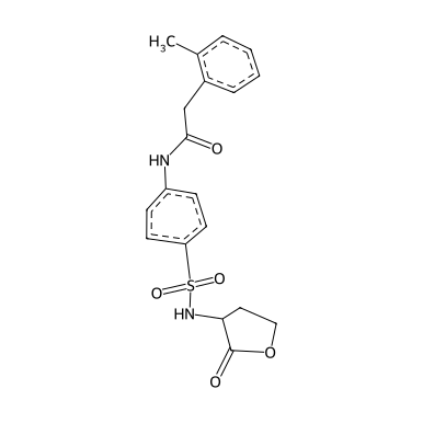 Cc1ccccc1CC(=O)Nc1ccc(S(=O)(=O)NC2CCOC2=O)cc1